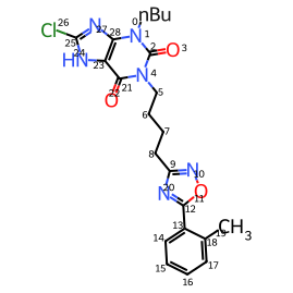 CCCCn1c(=O)n(CCCCc2noc(-c3ccccc3C)n2)c(=O)c2[nH]c(Cl)nc21